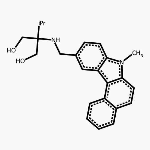 CC(C)C(CO)(CO)NCc1ccc2c(c1)c1c3ccccc3ccc1n2C